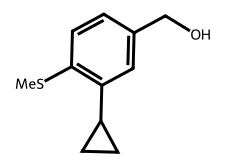 CSc1ccc(CO)cc1C1CC1